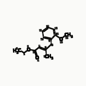 CCOC(=O)C=C(C)Cc1ccccc1OC